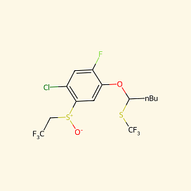 CCCCC(Oc1cc([S+]([O-])CC(F)(F)F)c(Cl)cc1F)SC(F)(F)F